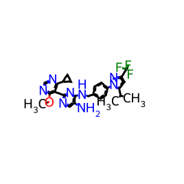 COc1ncnc(C2CC2)c1-c1ncc(N)c(NCc2ccc(-n3nc(C(F)(F)F)cc3C(C)C)cc2)n1